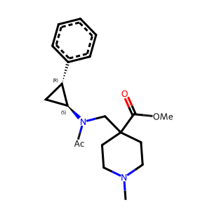 COC(=O)C1(CN(C(C)=O)[C@H]2C[C@@H]2c2ccccc2)CCN(C)CC1